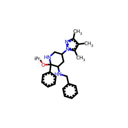 Cc1nn(C2CNC(OC(C)C)(c3ccccc3)C(NCc3ccccc3)C2)c(C)c1C